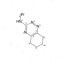 CC(C)Nc1nnc2c(n1)CCCC2